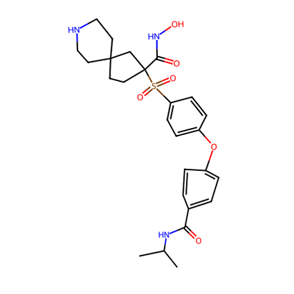 CC(C)NC(=O)c1ccc(Oc2ccc(S(=O)(=O)C3(C(=O)NO)CCC4(CCNCC4)C3)cc2)cc1